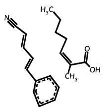 CCCCC=C(C)C(=O)O.N#CC=CC=Cc1ccccc1